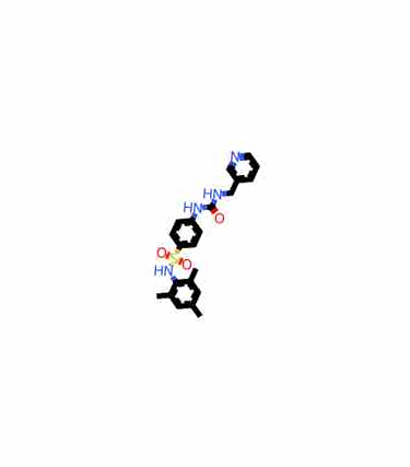 Cc1cc(C)c(NS(=O)(=O)c2ccc(NC(=O)NCc3cccnc3)cc2)c(C)c1